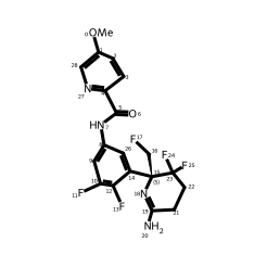 COc1ccc(C(=O)Nc2cc(F)c(F)c([C@@]3(CF)N=C(N)CCC3(F)F)c2)nc1